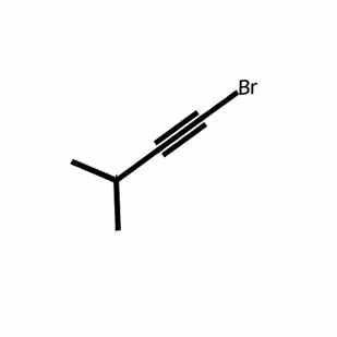 C[C](C)C#CBr